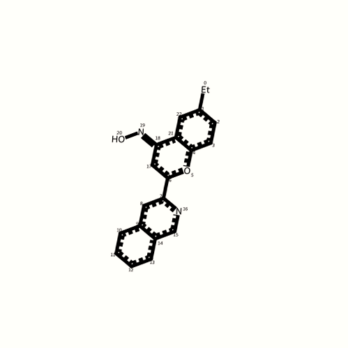 CCc1ccc2oc(-c3cc4ccccc4cn3)c/c(=N\O)c2c1